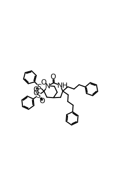 O=C1NC(CCCc2ccccc2)(CCCc2ccccc2)CC2CCN1C(S(=O)(=O)c1ccccc1)(S(=O)(=O)c1ccccc1)C2